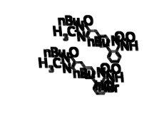 Br.CCCCc1nc(C)n(CCCC)c(=O)c1Cc1ccc(-c2ccccc2-c2noc(=O)[nH]2)cc1.CCCCc1nc(C)n(CCCC)c(=O)c1Cc1ccc(-c2ccccc2-c2noc(=O)[nH]2)cc1.Cl